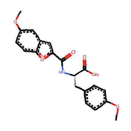 COc1ccc(C[C@H](NC(=O)c2cc3cc(OC)ccc3o2)C(=O)O)cc1